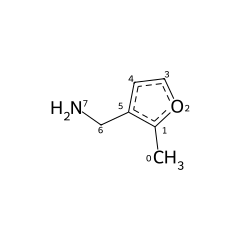 Cc1occc1CN